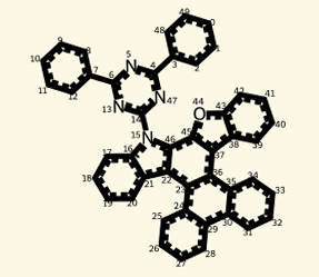 c1ccc(-c2nc(-c3ccccc3)nc(-n3c4ccccc4c4c5c6ccccc6c6ccccc6c5c5c6ccccc6oc5c43)n2)cc1